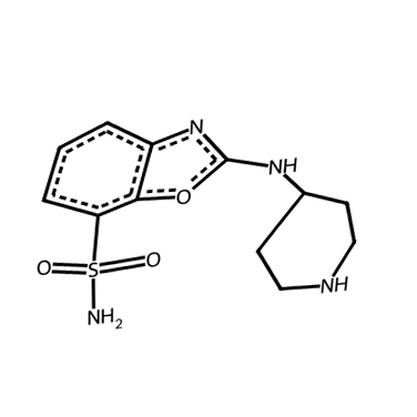 NS(=O)(=O)c1cccc2nc(NC3CCNCC3)oc12